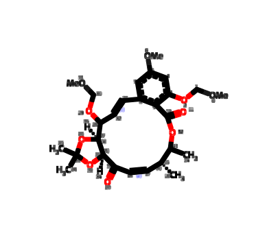 COCOc1cc(OC)cc2c1C(=O)OC(C)[C@H](C)/C=C\C(=O)[C@H]1OC(C)(C)O[C@H]1C(OCOC)/C=C/2